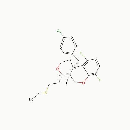 N#CCSCC[C@@H]1OCC[C@@]2(Cc3ccc(Cl)cc3)c3c(F)ccc(F)c3OC[C@@H]12